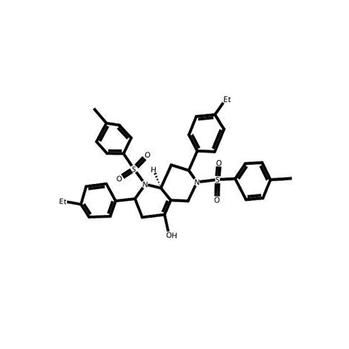 CCc1ccc(C2C[C@H]3C(=C(O)CC(c4ccc(CC)cc4)N3S(=O)(=O)c3ccc(C)cc3)CN2S(=O)(=O)c2ccc(C)cc2)cc1